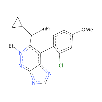 CCCC(c1c(-c2ccc(OC)cc2Cl)c2ncnc-2nn1CC)C1CC1